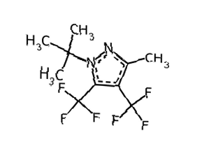 Cc1nn(C(C)(C)C)c(C(F)(F)F)c1C(F)(F)F